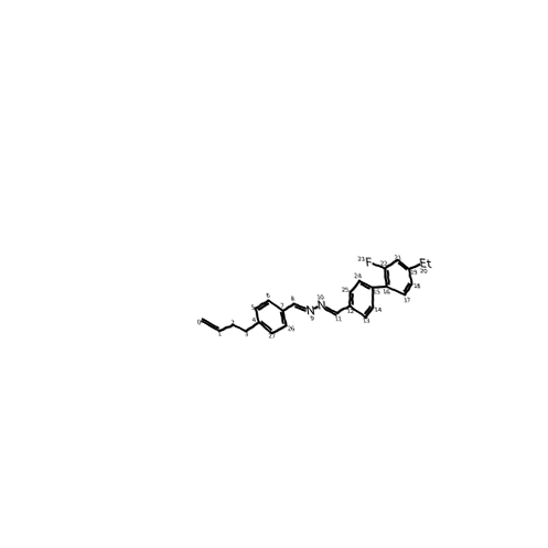 C=CCCc1ccc(C=NN=Cc2ccc(-c3ccc(CC)cc3F)cc2)cc1